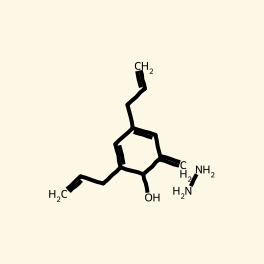 C=CCC1=CC(=C)C(O)C(CC=C)=C1.NN